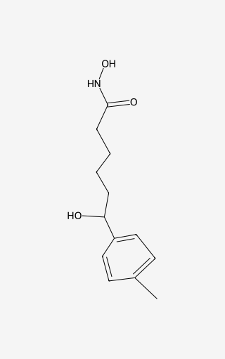 Cc1ccc(C(O)CCCCC(=O)NO)cc1